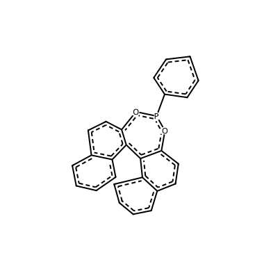 c1ccc(-p2oc3ccc4ccccc4c3c3c(ccc4ccccc43)o2)cc1